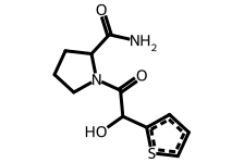 NC(=O)C1CCCN1C(=O)C(O)c1cccs1